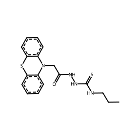 CCCNC(=S)NNC(=O)CN1c2ccccc2Sc2ccccc21